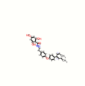 C=C/C=C(\C=C/C)c1ccc(Oc2ccc(CCNC(=O)c3c(O)cc(O)cc3O)cc2)cc1